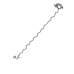 CCCCCCCCCCCCCCCCCCCCCCCc1nc[nH]n1